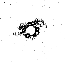 COc1cc(NC(C)=O)c2cc1Oc1ccc(cc1)C[C@H]1c3cc(c(OC)cc3CCN1C)Oc1c(OC)c(OC)cc3c1[C@H](C2)N(C)CC3